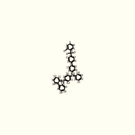 Cc1ccccc1C(C)(C)c1ccc(-c2ccc(N(c3ccccc3)c3ccc(-n4c5ccccc5c5ccccc54)cc3)cc2)cc1